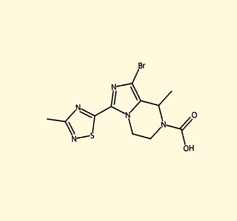 Cc1nsc(-c2nc(Br)c3n2CCN(C(=O)O)C3C)n1